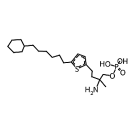 CC(N)(CCc1ccc(CCCCCCC2CCCCC2)s1)COP(=O)(O)O